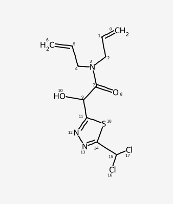 C=CCN(CC=C)C(=O)C(O)c1nnc(C(Cl)Cl)s1